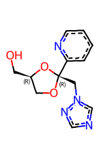 OC[C@@H]1CO[C@@](Cn2cncn2)(c2ccccn2)O1